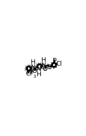 O=C(COc1ccc(Cl)c(F)c1)N[C@H]1CC[C@H](C(=O)Nc2cccc(C(F)(F)F)c2F)NC1